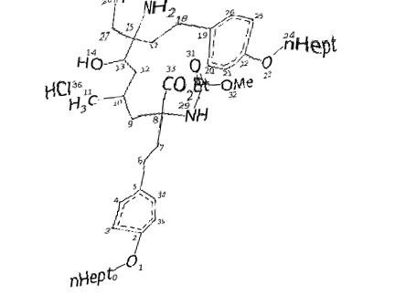 CCCCCCCOc1ccc(CCC(CC(C)CC(O)C(N)(CCc2ccc(OCCCCCCC)cc2)CC(C)C)(NC(=O)OC)C(=O)OCC)cc1.Cl